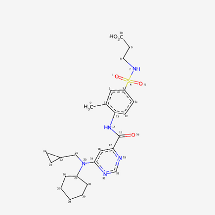 Cc1cc(S(=O)(=O)NCCC(=O)O)ccc1NC(=O)c1cc(N(CC2CC2)C2CCCCC2)ncn1